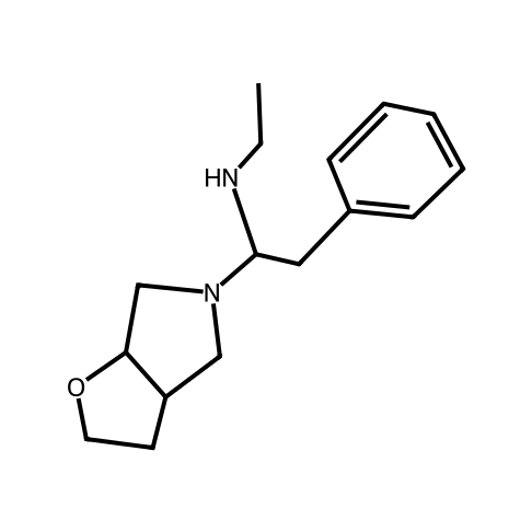 CCNC(Cc1ccccc1)N1CC2CCOC2C1